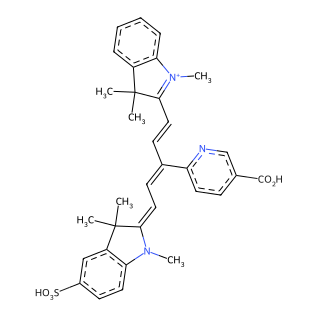 CN1/C(=C/C=C(/C=C/C2=[N+](C)c3ccccc3C2(C)C)c2ccc(C(=O)O)cn2)C(C)(C)c2cc(S(=O)(=O)O)ccc21